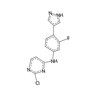 Fc1cc(Nc2ccnc(Cl)n2)ccc1-c1cn[nH]c1